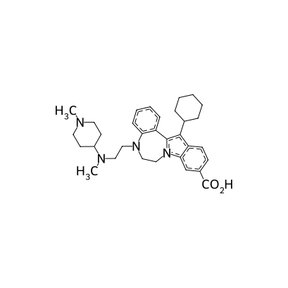 CN1CCC(N(C)CCN2CCn3c(c(C4CCCCC4)c4ccc(C(=O)O)cc43)-c3ccccc32)CC1